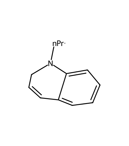 CC[CH]N1CC=Cc2ccccc21